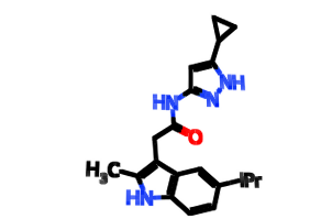 Cc1[nH]c2ccc(C(C)C)cc2c1CC(=O)Nc1cc(C2CC2)[nH]n1